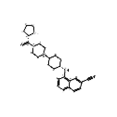 N#Cc1ccc2ncnc(N[C@H]3CC[C@H](N4CCN(C(=O)[C@@H]5CCCO5)CC4)CC3)c2c1